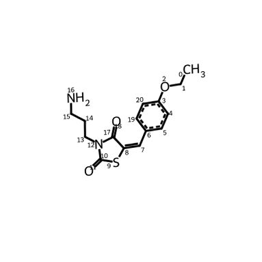 CCOc1ccc(C=C2SC(=O)N(CCCN)C2=O)cc1